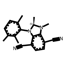 Cc1ccc(C)c(N2c3c(C#N)ccc(C#N)c3N(C)[C@@H]2C)c1C